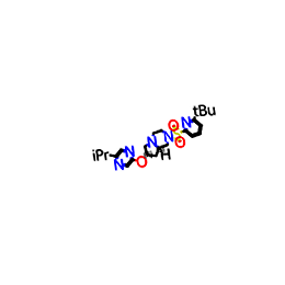 CC(C)c1cnc(O[C@@H]2C[C@H]3CN(S(=O)(=O)c4cccc(C(C)(C)C)n4)CCN3C2)cn1